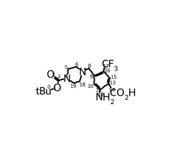 CC(C)(C)OC(=O)N1CCN(Cc2cc(N)c(C(=O)O)cc2C(F)(F)F)CC1